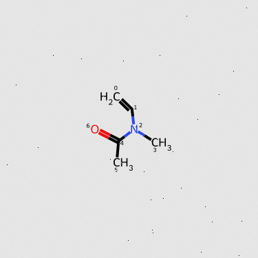 C=CN(C)C(C)=O